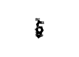 CCC(CC)CN1CCc2n[c]sc2C1